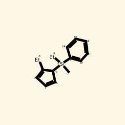 CCC1=CC=C[C]1[Si](C)(CC)c1ccccc1